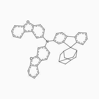 c1ccc2c(c1)-c1ccc(N(c3ccc4c(c3)oc3ccccc34)c3ccc4oc5ccccc5c4c3)cc1C21C2CC3CC(C2)CC1C3